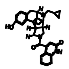 O=C(c1cc(=O)[nH]c2ccccc12)N1C[C@H]2C[C@@]34CC[C@@H]1[C@@H]2[C@@]31CCN(CC2CC2)[C@@H]4Cc2ccc(O)cc21